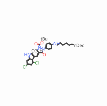 CCCCCCCCCCCCCCCCNc1ccc(N2C(=O)C(=Cc3c(C(=O)O)[nH]c4cc(Cl)cc(Cl)c34)CN2C(=O)OC(C)(C)C)cc1